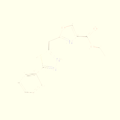 CCOC(=O)c1coc(Cc2nnc(-c3ccccc3)s2)n1